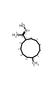 CC1CCCCCC(/C(N)=N/O)CCCC1